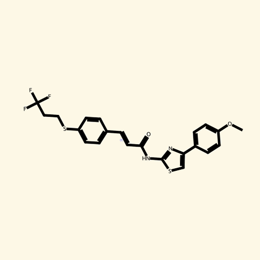 COc1ccc(-c2csc(NC(=O)/C=C/c3ccc(SCCC(F)(F)F)cc3)n2)cc1